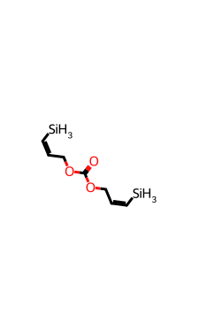 O=C(OC/C=C\[SiH3])OC/C=C\[SiH3]